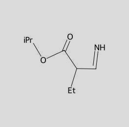 CCC(C=N)C(=O)OC(C)C